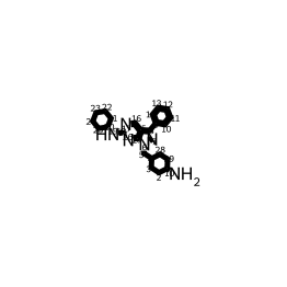 NC1CCC(Cn2nc(-c3ccccc3)c3cnc(NC4CCCCC4)nc32)CC1